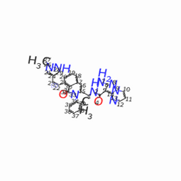 CC(NC(=O)c1c(N)nn2cccnc12)c1cc2cccc(/C=C\C3=CN(C)NC3)c2c(=O)n1-c1ccccc1